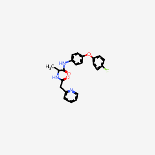 CC(NC(=O)Cc1ccccn1)C(=O)Nc1ccc(Oc2ccc(F)cc2)cc1